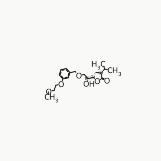 COCCOc1cccc(COC[C@@H](O)[C@@H]2C[C@@H](C(C)C)C(=O)O2)c1